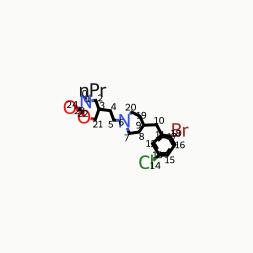 CCCN1CC(CCN2CCC(Cc3cc(Cl)ccc3Br)CC2)COC1=O